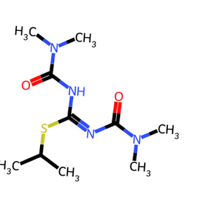 CC(C)SC(=NC(=O)N(C)C)NC(=O)N(C)C